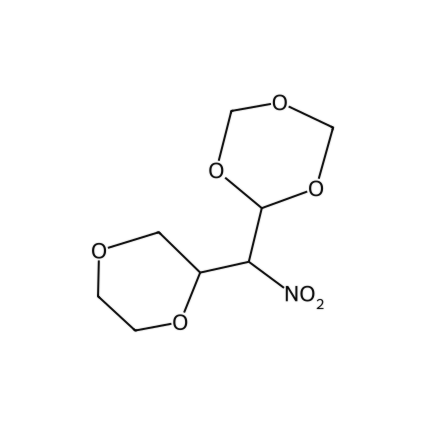 O=[N+]([O-])C(C1COCCO1)C1OCOCO1